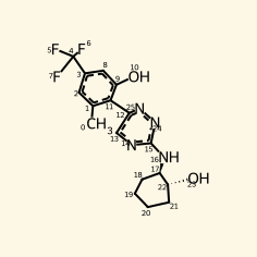 Cc1cc(C(F)(F)F)cc(O)c1-c1cnc(N[C@@H]2CCCC[C@H]2O)nn1